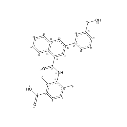 Cc1ccc(C(=O)O)c(C)c1NC(=O)c1cc(-c2cccc(CO)c2)cc2ccccc12